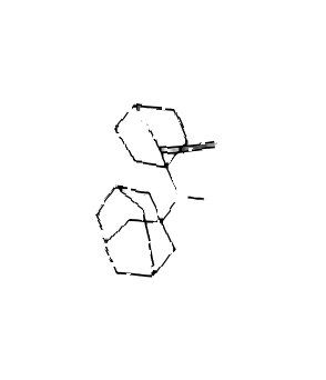 O=C[As](C12CC3CC(CC(C3)C1)C2)C12CCC(CC1)NC2=O